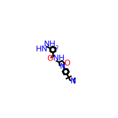 CN(C)CC(C)(C)c1ccc(N2CC(CNC(=O)c3cccc(C(=N)N)c3)CC2=O)cc1